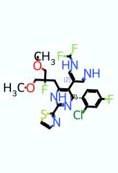 COCC(F)(COC)CC1=C(/C(C=N)=C/NC(F)F)[C@H](c2ccc(F)cc2Cl)N=C(c2nccs2)N1